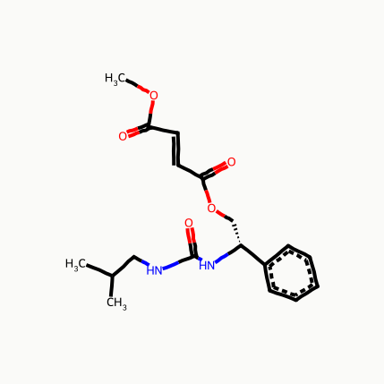 COC(=O)/C=C/C(=O)OC[C@@H](NC(=O)NCC(C)C)c1ccccc1